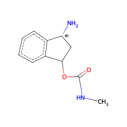 CNC(=O)OC1C[C@@H](N)c2ccccc21